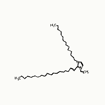 CCCCCCCCCCCCCCCCCCCC1N(CC)C=CN1CCCCCCCCCCCCCCC